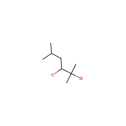 CC(C)CC([O])C(C)(C)Br